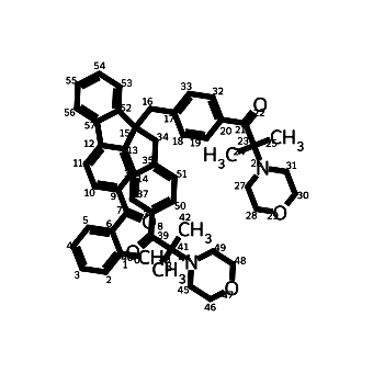 Cc1ccccc1C(=O)c1ccc2c(c1)C(Cc1ccc(C(=O)C(C)(C)N3CCOCC3)cc1)(Cc1ccc(C(=O)C(C)(C)N3CCOCC3)cc1)c1ccccc1-2